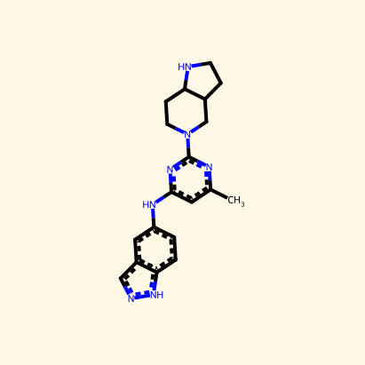 Cc1cc(Nc2ccc3[nH]ncc3c2)nc(N2CCC3NCCC3C2)n1